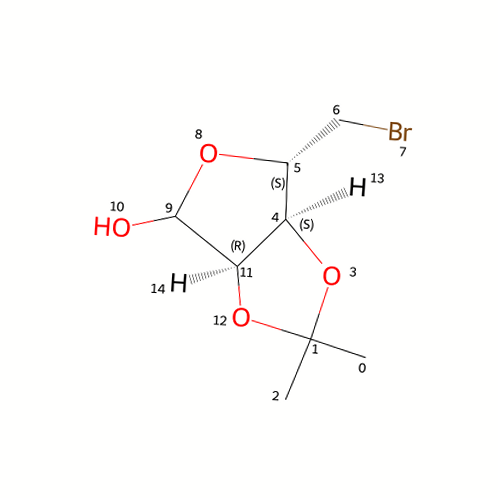 CC1(C)O[C@@H]2[C@@H](CBr)OC(O)[C@@H]2O1